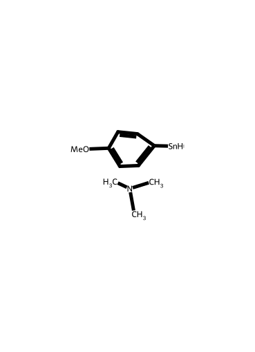 CN(C)C.COc1cc[c]([SnH])cc1